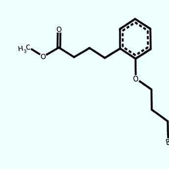 COC(=O)CCCc1ccccc1OCCCBr